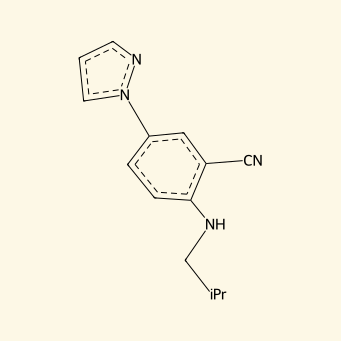 CC(C)CNc1ccc(-n2cccn2)cc1C#N